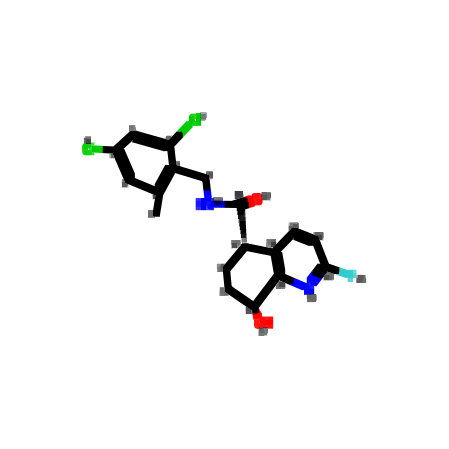 Cc1cc(Cl)cc(Cl)c1CNC(=O)[C@H]1CC[C@H](O)c2nc(F)ccc21